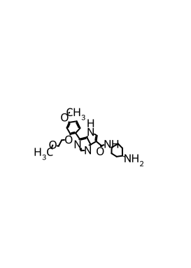 COCCOc1cc(OC)ccc1-c1ncnc2c(C(=O)N[C@H]3CC[C@@H](N)CC3)c[nH]c12